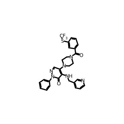 O=C(c1cccc(SC(F)(F)F)c1)N1CCN(c2cnn(-c3ccccc3)c(=O)c2NCc2cccnc2)CC1